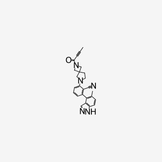 CC#CC(=O)N1CC2(CCN(c3cccc(-c4c(C)ccc5[nH]ncc45)c3C#N)C2)C1